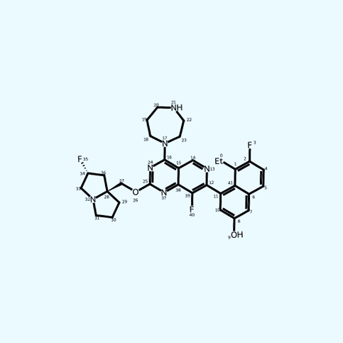 CCc1c(F)ccc2cc(O)cc(-c3ncc4c(N5CCCNCC5)nc(OC[C@@]56CCCN5C[C@H](F)C6)nc4c3F)c12